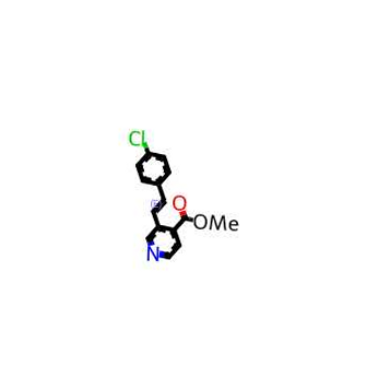 COC(=O)c1ccncc1/C=C/c1ccc(Cl)cc1